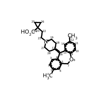 Cc1ccc2c(c1)COc1ccc(C)cc1C2=C1CCN(CCC2(C(=O)O)CC2)CC1